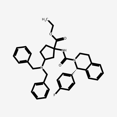 CCOC(=O)C1(NC(=O)N2CCc3ccccc3[C@@H]2c2ccc(F)cc2)CCC(N(Cc2ccccc2)Cc2ccccc2)C1